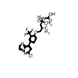 C[C@H](COc1ccc(-c2cc(Cl)nn3ccnc23)cc1C(F)(F)F)CC(C)(C)NC(=O)O